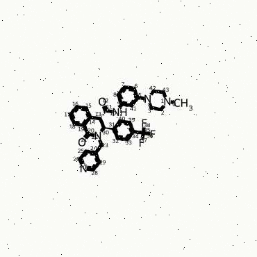 CN1CCN(c2cccc(NC(=O)[C@H]3c4ccccc4C(=O)N(Cc4ccncc4)[C@@H]3c3ccc(C(F)(F)F)cc3)c2)CC1